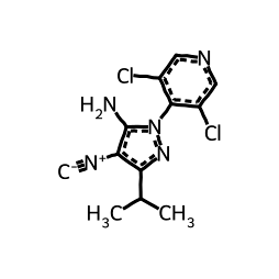 [C-]#[N+]c1c(C(C)C)nn(-c2c(Cl)cncc2Cl)c1N